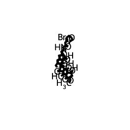 COC1=CC(=O)c2c(O)c3c(c(O)c2C1=O)C(=O)[C@]1(CCc2cc4cc(C=NNC(=O)CN5CCOCC5Br)[nH]c(=O)c4c(O)c21)C3=O